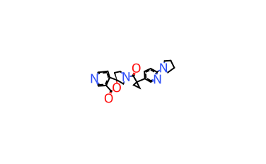 O=C1O[C@]2(CCN(C(=O)C3(c4ccc(N5CCCC5)nc4)CC3)C2)c2ccncc21